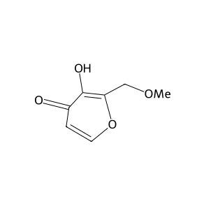 COCc1occc(=O)c1O